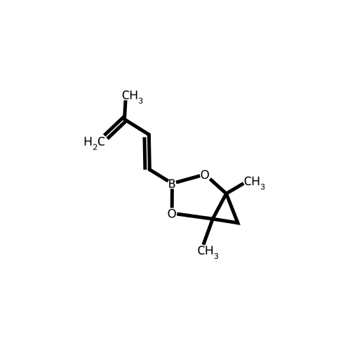 C=C(C)/C=C/B1OC2(C)CC2(C)O1